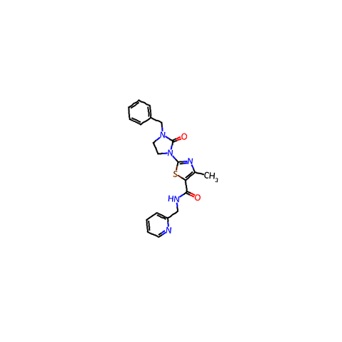 Cc1nc(N2CCN(Cc3ccccc3)C2=O)sc1C(=O)NCc1ccccn1